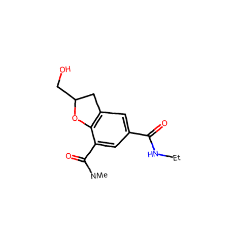 CCNC(=O)c1cc2c(c(C(=O)NC)c1)OC(CO)C2